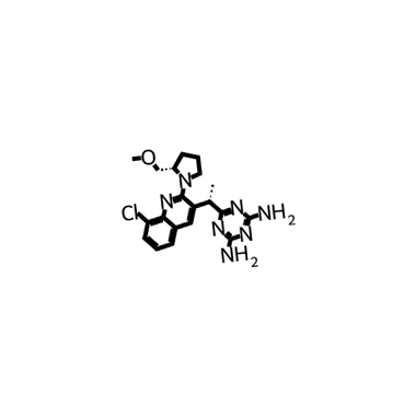 COC[C@@H]1CCCN1c1nc2c(Cl)cccc2cc1[C@H](C)c1nc(N)nc(N)n1